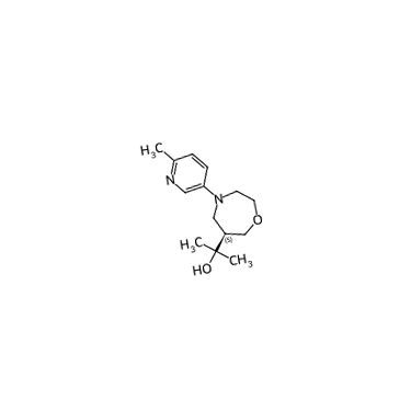 Cc1ccc(N2CCOC[C@@H](C(C)(C)O)C2)cn1